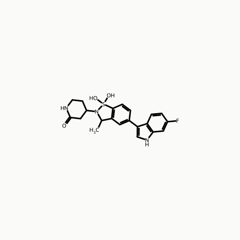 CC1c2cc(-c3c[nH]c4cc(F)ccc34)ccc2S(O)(O)N1C1CCNC(=O)C1